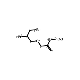 C=C(COCC(CCC)CC(C)CC)NCCCCCCCC